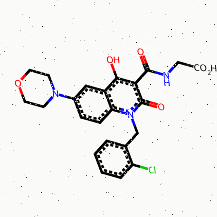 O=C(O)CNC(=O)c1c(O)c2cc(N3CCOCC3)ccc2n(Cc2ccccc2Cl)c1=O